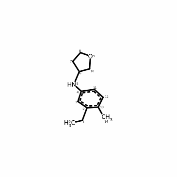 CCc1cc(NC2CCOC2)ccc1C